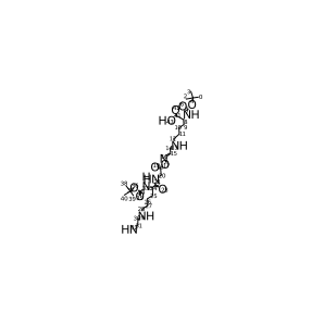 CC(C)(C)OC(=O)NC(CCCCNCC=NOC(=O)CNC(=O)C(CCCCNCC=N)NC(=O)OC(C)(C)C)C(=O)O